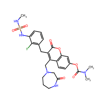 CNS(=O)(=O)Nc1cccc(Cc2c(CN3CCCNC(=O)C3)c3ccc(OC(=O)N(C)C)cc3oc2=O)c1F